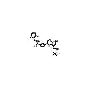 C[C@H](NC(=O)c1c[nH]c2ncc(-c3ccc(C(=O)NCc4c(F)cccc4F)s3)nc12)C(C)(C)C